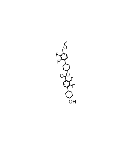 CCOCc1ccc(C2CCC(OC(=O)c3ccc(C4CCC(O)CC4)c(F)c3F)CC2)c(F)c1F